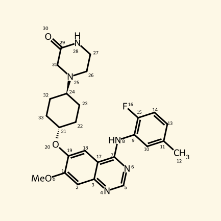 COc1cc2ncnc(Nc3cc(C)ccc3F)c2cc1O[C@H]1CC[C@H](N2CCNC(=O)C2)CC1